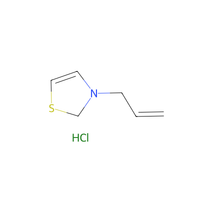 C=CCN1C=CSC1.Cl